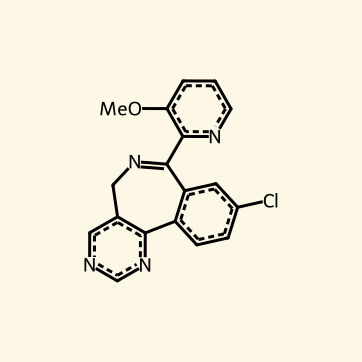 COc1cccnc1C1=NCc2cncnc2-c2ccc(Cl)cc21